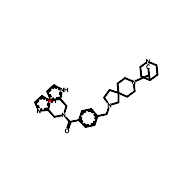 O=C(c1ccc(CN2CCC3(CCN(C4CN5CCC4CC5)CC3)C2)cc1)N(Cc1ncc[nH]1)Cc1ncc[nH]1